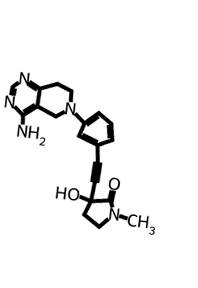 CN1CCC(O)(C#Cc2cccc(N3CCc4ncnc(N)c4C3)c2)C1=O